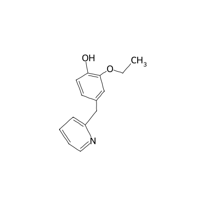 CCOc1cc(Cc2ccccn2)ccc1O